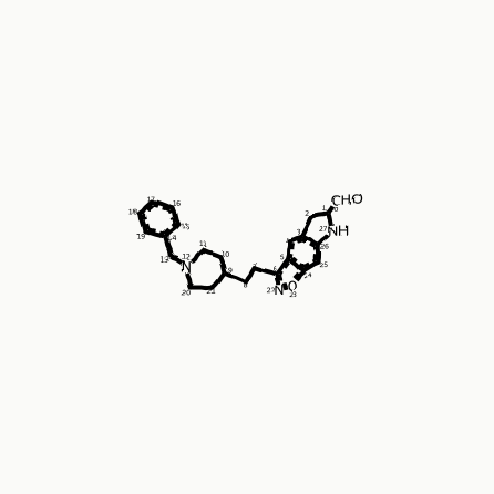 O=CC1Cc2cc3c(CCC4CCN(Cc5ccccc5)CC4)noc3cc2N1